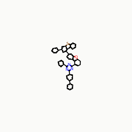 C1=C(c2nc(-c3ccccc3)nc(-c3ccc(-c4ccccc4)cc3)n2)c2c(oc3cc(-c4cc(-c5ccccc5)cc5sc6ccccc6c45)ccc23)CC1